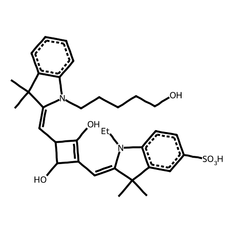 CCN1C(=CC2=C(O)C(C=C3N(CCCCCO)c4ccccc4C3(C)C)C2O)C(C)(C)c2cc(S(=O)(=O)O)ccc21